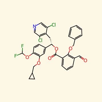 O=Cc1cccc(C(=O)O[C@@H](Cc2c(Cl)cncc2Cl)c2ccc(OC(F)F)c(OCC3CC3)c2)c1OCc1ccccc1